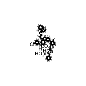 Cc1ccc(OCC(=O)N[C@H](Cc2ccccc2)C(=O)O)cc1-c1ccc2c(c1)C1(CCC(Nc3cccc(Cl)c3)(C(=O)O)CC1)C(C[C@@H](C)COc1ccnc3c1[C@H](C)CCC3)C2